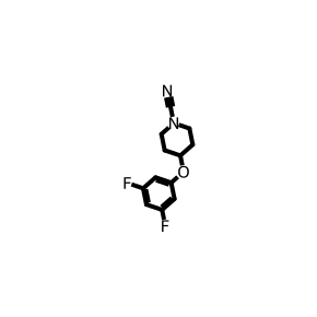 N#CN1CCC(Oc2cc(F)cc(F)c2)CC1